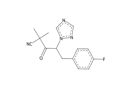 CC(C)(C#N)C(=O)C(Cc1ccc(F)cc1)n1cncn1